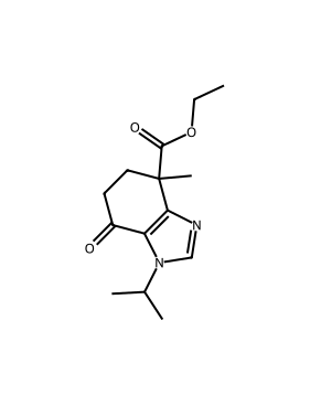 CCOC(=O)C1(C)CCC(=O)c2c1ncn2C(C)C